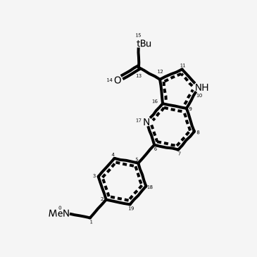 CNCc1ccc(-c2ccc3[nH]cc(C(=O)C(C)(C)C)c3n2)cc1